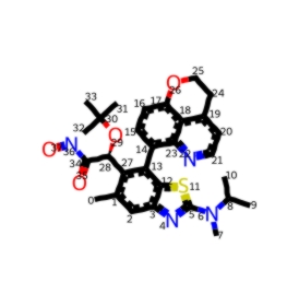 Cc1cc2nc(N(C)C(C)C)sc2c(-c2ccc3c4c(ccnc24)CCO3)c1[C@H](OC(C)(C)C)C(=O)N=O